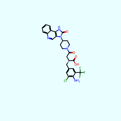 Nc1c(Cl)cc(C[C@@H](CC(=O)N2CCC(n3c(=O)[nH]c4c5ccccc5ncc43)CC2)C(=O)O)cc1C(F)(F)F